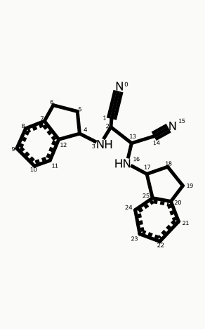 N#CC(NC1CCc2ccccc21)C(C#N)NC1CCc2ccccc21